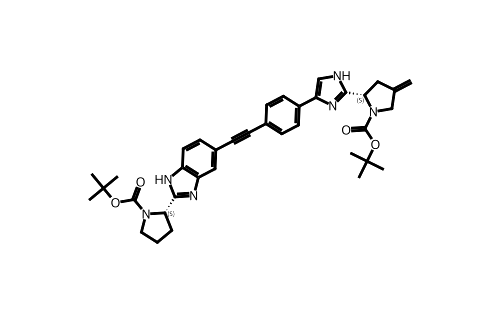 C=C1C[C@@H](c2nc(-c3ccc(C#Cc4ccc5[nH]c([C@@H]6CCCN6C(=O)OC(C)(C)C)nc5c4)cc3)c[nH]2)N(C(=O)OC(C)(C)C)C1